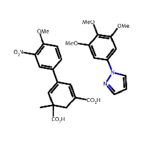 COc1cc(-n2cccn2)cc(OC)c1OC.COc1ccc(C2=CC(C)(C(=O)O)CC(C(=O)O)=C2)cc1[N+](=O)[O-]